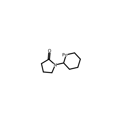 O=C1CCCN1[CH]1CCC[CH2][Po]1